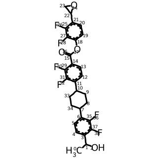 CC(O)c1ccc(C2CCC(c3ccc(C(=O)Oc4ccc(C5CO5)c(F)c4F)c(F)c3F)CC2)c(F)c1F